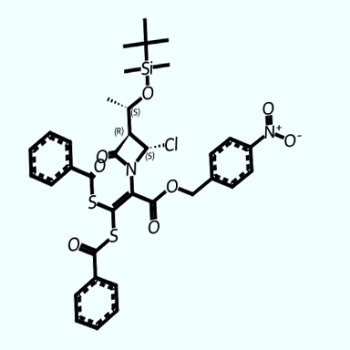 C[C@H](O[Si](C)(C)C(C)(C)C)[C@@H]1C(=O)N(C(C(=O)OCc2ccc([N+](=O)[O-])cc2)=C(SC(=O)c2ccccc2)SC(=O)c2ccccc2)[C@H]1Cl